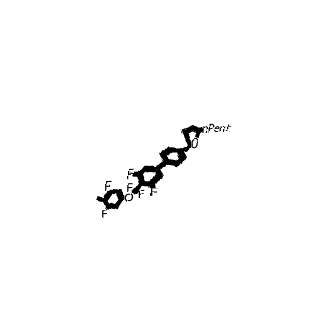 CCCCCC1CCC(c2ccc(-c3cc(F)c(C(F)(F)Oc4cc(F)c(C)c(F)c4)c(F)c3)cc2)O1